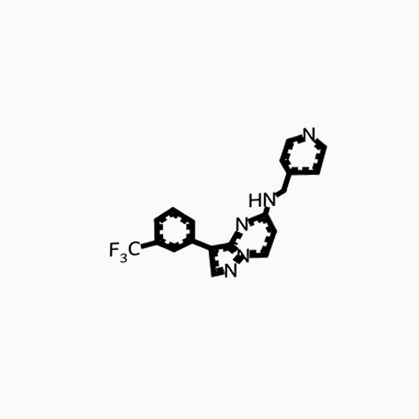 FC(F)(F)c1cccc(-c2cnn3ccc(NCc4ccncc4)nc23)c1